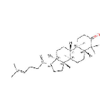 C=C(CCC=C(C)C)[C@H]1CC[C@]2(C)[C@@H]1CC[C@@H]1[C@@]3(C)CCC(=O)C(C)(C)[C@@H]3CC[C@]12C